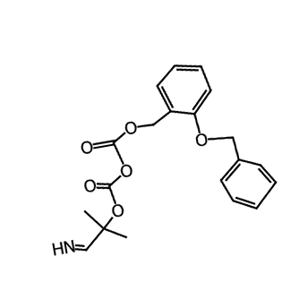 CC(C)(C=N)OC(=O)OC(=O)OCc1ccccc1OCc1ccccc1